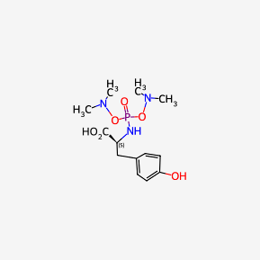 CN(C)OP(=O)(N[C@@H](Cc1ccc(O)cc1)C(=O)O)ON(C)C